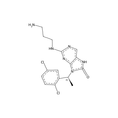 C[C@@H](c1cc(Cl)ccc1Cl)n1c(=O)[nH]c2cnc(NCCCN)nc21